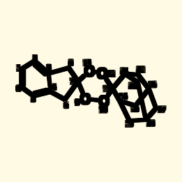 c1ccc2c(c1)CC1(C2)OOC2(OO1)C1CC3CC(C1)CC2C3